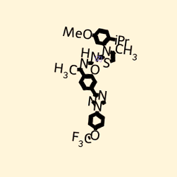 COc1ccc(C(C)C)c(-n2c(C)cs/c2=N\C(=O)NC(C)c2ccc(-c3ncn(-c4ccc(OC(F)(F)F)cc4)n3)cc2)c1